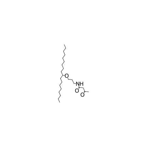 CCCCCCCCCC(CCCCCCCC)OCCCNC(=O)CC(C)=O